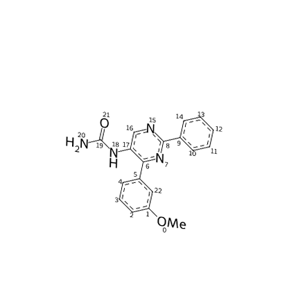 COc1cccc(-c2nc(-c3ccccc3)ncc2NC(N)=O)c1